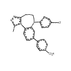 Cc1nnc2n1-c1ccc(-c3ccc(C(=O)O)cc3)cc1N(c1ccc(Cl)cc1)CC2